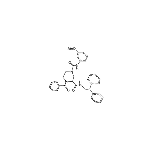 COc1cccc(NC(=O)N2CCN(C(=O)c3ccccc3)C(C(=O)NCC(c3ccccc3)c3ccccc3)C2)c1